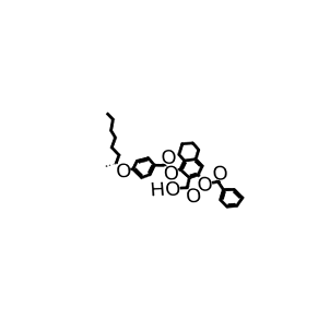 CCCCCC[C@@H](C)Oc1ccc(C(=O)Oc2c3c(cc(OC(=O)c4ccccc4)c2C(=O)O)CCCC3)cc1